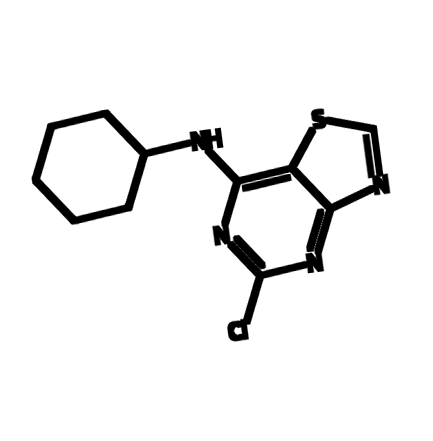 Clc1nc(NC2CCCCC2)c2scnc2n1